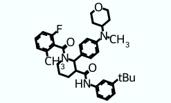 Cc1cccc(F)c1C(=O)N1CCCC(C(=O)Nc2cccc(C(C)(C)C)c2)C1c1ccc(N(C)C2CCOCC2)cc1